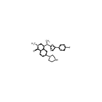 CN(c1nc(-c2ccc(F)cc2)cs1)c1cn(C)c(=O)c2ccc(N3CCNCC3)cc12